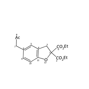 CCOC(=O)C1(C(=O)OCC)Cc2cc(CC(C)=O)ccc2O1